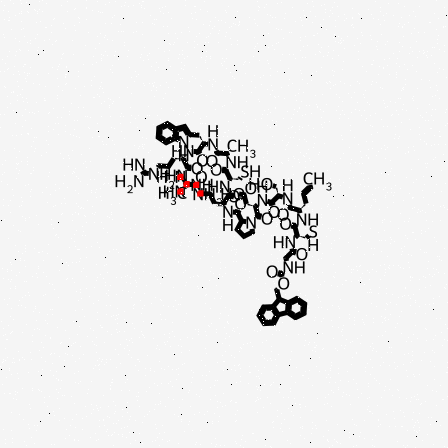 CC=CC[C@H](NC(=O)[C@H](CS)NC(=O)CNC(=O)OCC1c2ccccc2-c2ccccc21)C(=O)N[C@@H](CO)C(=O)N[C@@H](CC(=O)O)C(=O)N1CCCC1C(=O)N[C@@H](CCCNC(=N)N)C(=O)N[C@@H](CS)C(=O)N[C@@H](C)C(=O)N[C@@H](Cc1cc2ccccc2[nH]1)C(=O)N[C@@H](CCCNC(=N)N)C(=O)N[C@@H](C)C(N)=O